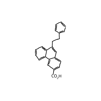 O=C(O)c1ccc2cc(CCc3ccccc3)c3ccccc3c2c1